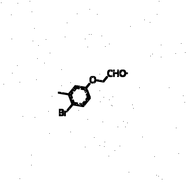 Cc1cc(OC[C]=O)ccc1Br